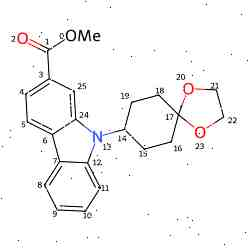 COC(=O)c1ccc2c3ccccc3n(C3CCC4(CC3)OCCO4)c2c1